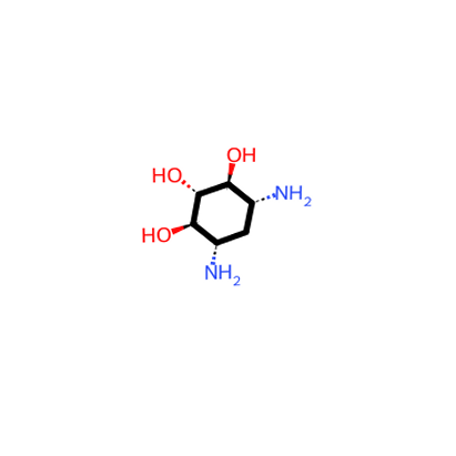 N[C@@H]1C[C@H](N)[C@@H](O)[C@H](O)[C@H]1O